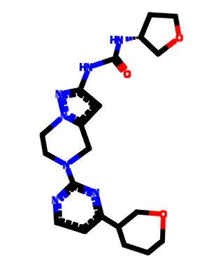 O=C(Nc1cc2n(n1)CCN(c1nccc(C3CCCOC3)n1)C2)N[C@@H]1CCOC1